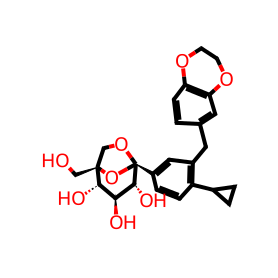 OC[C@@]12CO[C@@](c3ccc(C4CC4)c(Cc4ccc5c(c4)OCCO5)c3)(O1)[C@H](O)[C@@H](O)[C@@H]2O